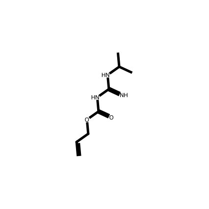 C=CCOC(=O)NC(=N)NC(C)C